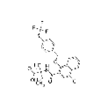 CCC(C)(NC(=O)c1cc(Cl)c2ccccc2c1OCc1ccc(SC(F)(F)F)cc1)C(=O)O